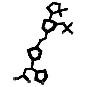 CC1(C)CCC=C1c1ccc(COc2ccc(C(CC(=O)O)c3ccon3)cc2)cc1OC(F)(F)F